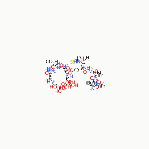 CCCC(=O)OCN(C(=O)[C@@H](NC(=O)[C@H]1CCCCN1C)C(C)CC)[C@H](C[C@@H](OCC)c1nc(C(=O)N[C@@H](Cc2ccc(O)cc2)CC(C)C(=O)N[C@@H](CSSCCC(=O)NC2CCC(=O)NCC(O)C(C(O)C(O)CO)OC(C(O)CO)C(O)C(O)CNC(=O)CCC(C(N)=O)NC(=O)C(CCC(=O)O)NC2=O)C(=O)O)cs1)C(C)C